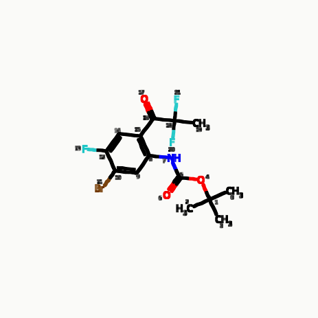 CC(C)(C)OC(=O)Nc1cc(Br)c(F)cc1C(=O)C(C)(F)F